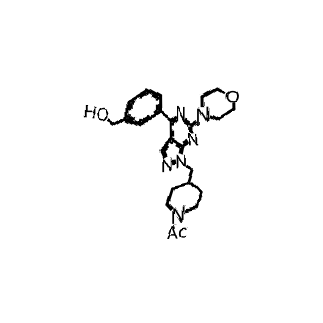 CC(=O)N1CCC(Cn2ncc3c(-c4cccc(CO)c4)nc(N4CCOCC4)nc32)CC1